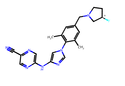 Cc1cc(CN2CC[C@@H](F)C2)cc(C)c1-n1cnc(Nc2cnc(C#N)cn2)c1